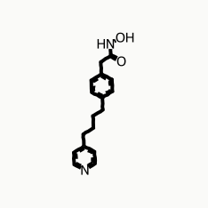 O=C(Cc1ccc(CCCCc2ccncc2)cc1)NO